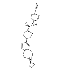 N#Cc1ccc(NC(=S)N2CCC(c3ccc4c(c3)CCN(C3CCC3)CC4)CC2)cc1